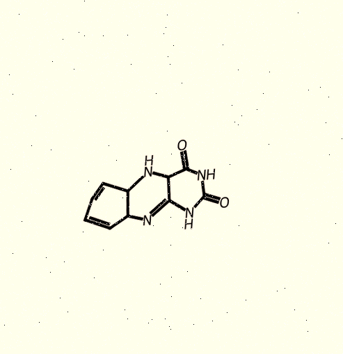 O=C1NC(=O)C2NC3C=CC=CC3N=C2N1